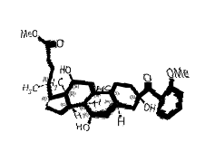 COC(=O)CC[C@@H](C)[C@H]1CC[C@H]2[C@@H]3[C@H](O)C[C@@H]4C[C@@](O)(C(=O)c5ccccc5OC)CC[C@]4(C)[C@H]3C[C@H](O)[C@]12C